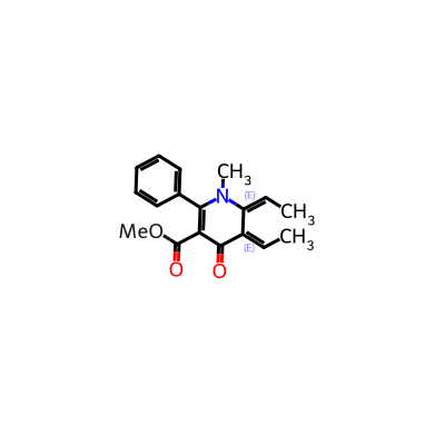 C/C=c1/c(=O)c(C(=O)OC)c(-c2ccccc2)n(C)/c1=C/C